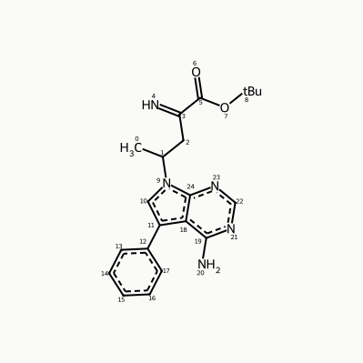 CC(CC(=N)C(=O)OC(C)(C)C)n1cc(-c2ccccc2)c2c(N)ncnc21